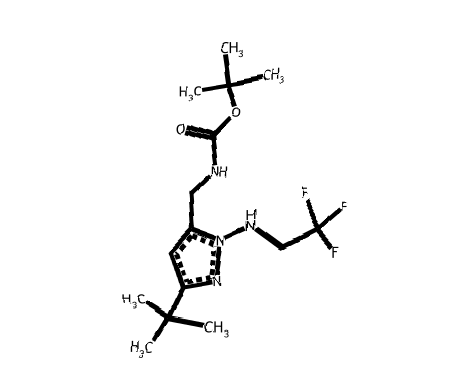 CC(C)(C)OC(=O)NCc1cc(C(C)(C)C)nn1NCC(F)(F)F